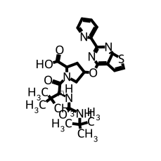 CC(C)(C)NC(=O)N[C@H](C(=O)N1CC(Oc2nc(-c3ccccn3)nc3sccc23)CC1C(=O)O)C(C)(C)C